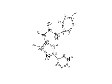 Cc1ccc(NC(=S)N(C)c2sc(-c3cccnc3)nc2C)cc1